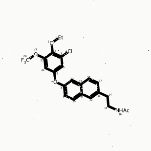 CCOc1c(Cl)cc(Oc2ccc3cc(CCNC(C)=O)ccc3c2)cc1OC(F)(F)F